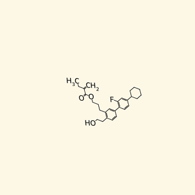 C=C(CC)C(=O)OCCCc1cc(-c2ccc(C3CCCCC3)cc2F)ccc1CCO